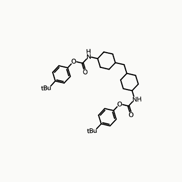 CC(C)(C)c1ccc(OC(=O)NC2CCC(CC3CCC(NC(=O)Oc4ccc(C(C)(C)C)cc4)CC3)CC2)cc1